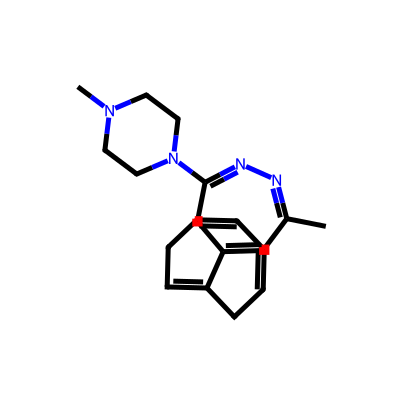 CC1=NN=C(N2CCN(C)CC2)CC(/C2=C\C/C=C\C=C/C2)=C1